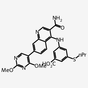 CCCSc1cc(Nc2c(C(N)=O)cnc3cc(-c4cnc(OC)nc4OC)ccc23)cc(C(=O)O)c1